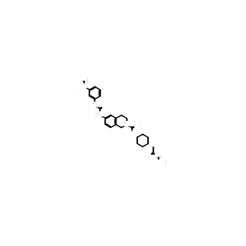 COC(=O)C[C@H]1CC[C@H](OC(=O)N2CCc3cc(NC(=O)Nc4cccc([S+](C)[O-])c4)ccc3C2)CC1